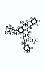 O=C(O)C(F)(F)F.O=C(O)CCCCCN(Cc1ccccc1F)C(=O)c1cc(Cl)cc(OCCNc2ccncc2)c1